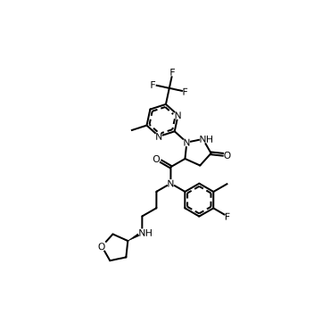 Cc1cc(C(F)(F)F)nc(N2NC(=O)CC2C(=O)N(CCCN[C@H]2CCOC2)c2ccc(F)c(C)c2)n1